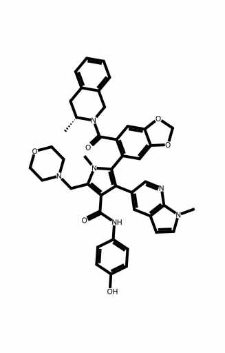 C[C@@H]1Cc2ccccc2CN1C(=O)c1cc2c(cc1-c1c(-c3cnc4c(ccn4C)c3)c(C(=O)Nc3ccc(O)cc3)c(CN3CCOCC3)n1C)OCO2